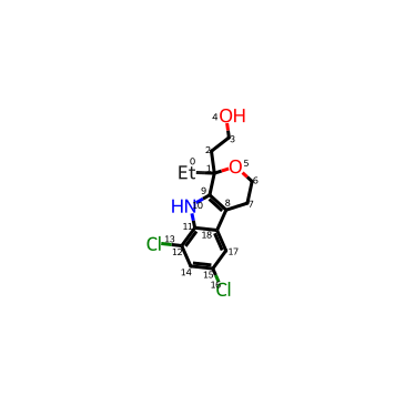 CCC1(CCO)OCCc2c1[nH]c1c(Cl)cc(Cl)cc21